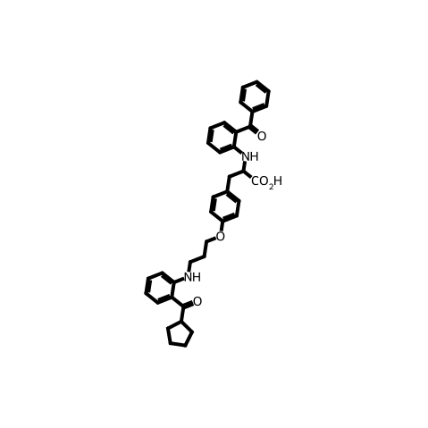 O=C(c1ccccc1)c1ccccc1NC(Cc1ccc(OCCCNc2ccccc2C(=O)C2CCCC2)cc1)C(=O)O